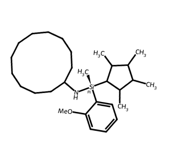 COc1ccccc1[Si@](C)(NC1CCCCCCCCCCC1)C1C(C)C(C)C(C)C1C